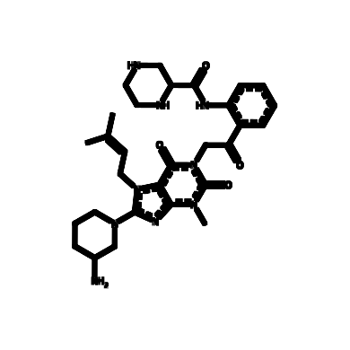 CC(C)=CCn1c(N2CCCC(N)C2)nc2c1c(=O)n(CC(=O)c1ccccc1NC(=O)C1CNCCN1)c(=O)n2C